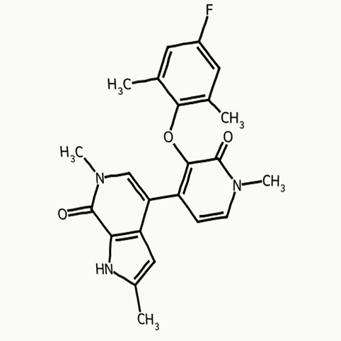 Cc1cc2c(-c3ccn(C)c(=O)c3Oc3c(C)cc(F)cc3C)cn(C)c(=O)c2[nH]1